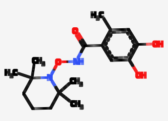 Cc1cc(O)c(O)cc1C(=O)NON1C(C)(C)CCCC1(C)C